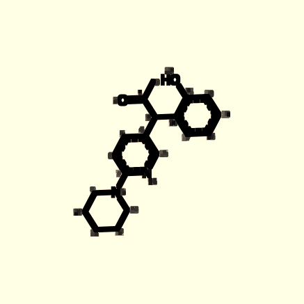 CC(=O)C(c1ccc(N2CCCCC2)nc1)c1ccccc1O